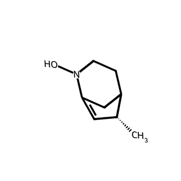 C[C@@H]1C=C2CC1CCN2O